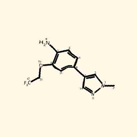 Cn1cc(-c2ccc(N)c(OCC(F)(F)F)c2)cn1